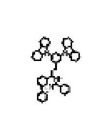 NC(N/C(=C\Cc1cc(N2c3ccccc3C3CCC=CC32)cc(N2c3ccccc3C3C=CCCC32)c1)c1cccc(-c2ccccc2)c1)c1ccccc1